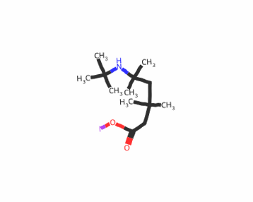 CC(C)(CC(=O)OI)CC(C)(C)NC(C)(C)C